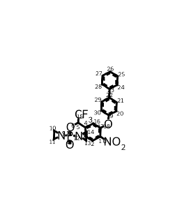 O=[N+]([O-])c1ccc(C(OP(=O)(N2CC2)N2CC2)C(F)(F)F)cc1Oc1ccc(-c2ccccc2)cc1